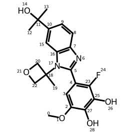 COc1cc(-c2nc3ccc(C(C)(C)O)cc3n2C2(C)COC2)c(F)c(O)c1O